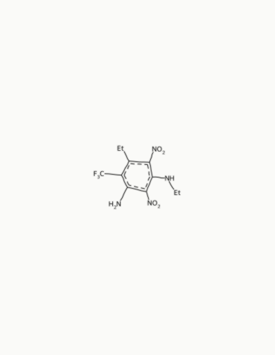 CCNc1c([N+](=O)[O-])c(N)c(C(F)(F)F)c(CC)c1[N+](=O)[O-]